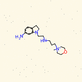 C[N+]1(CCCNCCN2CCc3ccc(N)cc32)CCOCC1